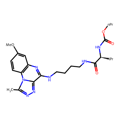 CCCOC(=O)N[C@H](C(=O)NCCCCNc1nc2cc(OC)ccc2n2c(C)nnc12)C(C)C